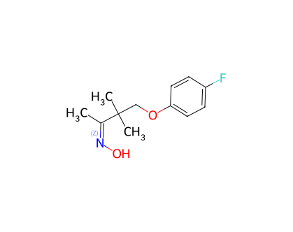 C/C(=N/O)C(C)(C)COc1ccc(F)cc1